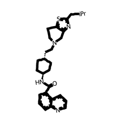 CC(C)Cc1nc2c(s1)CCN(CC[C@H]1CC[C@H](NC(=O)c3cccc4ncccc34)CC1)C2